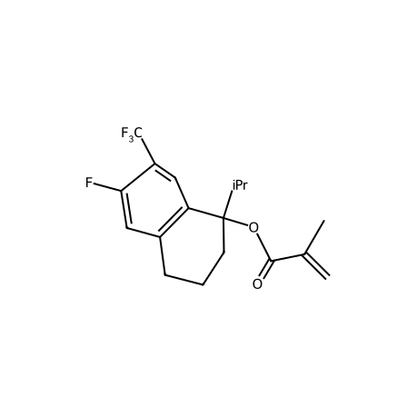 C=C(C)C(=O)OC1(C(C)C)CCCc2cc(F)c(C(F)(F)F)cc21